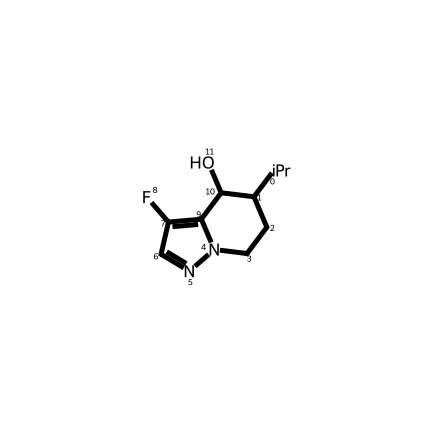 CC(C)C1CCn2ncc(F)c2C1O